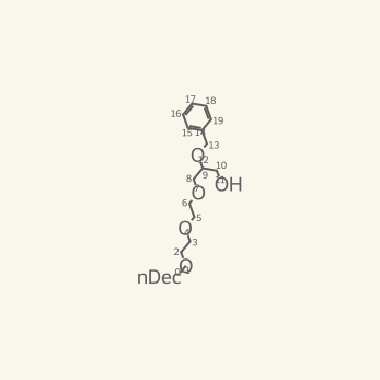 CCCCCCCCCCOCCOCCOCC(CO)OCc1ccccc1